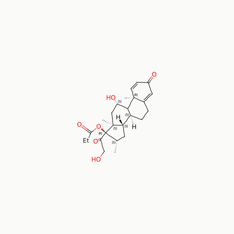 CCC(=O)O[C@]1(C(=O)CO)[C@@H](C)C[C@H]2[C@@H]3CCC4=CC(=O)C=C[C@]4(C)C3[C@@H](O)C[C@@]21C